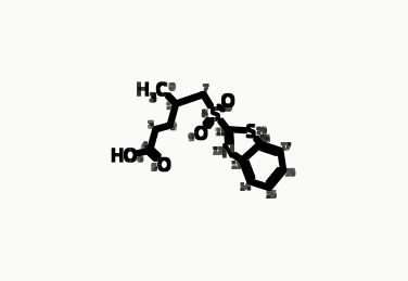 CC(CCC(=O)O)CS(=O)(=O)c1nc2ccccc2s1